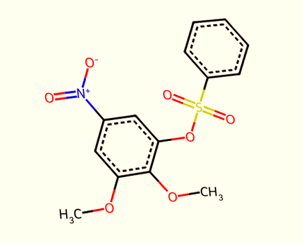 COc1cc([N+](=O)[O-])cc(OS(=O)(=O)c2ccccc2)c1OC